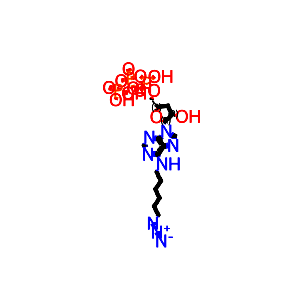 [N-]=[N+]=NCCCCCCNc1ncnc2c1ncn2[C@@H]1O[C@H](COP(=O)(O)OP(=O)(O)OP(=O)(O)O)C[C@H]1O